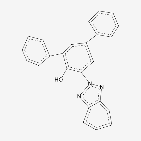 Oc1c(-c2ccccc2)cc(-c2ccccc2)cc1-n1nc2ccccc2n1